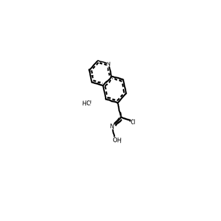 Cl.ON=C(Cl)c1ccc2ncccc2c1